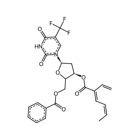 C=C/C(=C\C=C/C)C(=O)O[C@@H]1C[C@H](n2cc(C(F)(F)F)c(=O)[nH]c2=O)OC1COC(=O)c1ccccc1